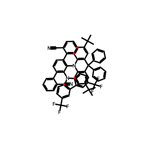 CC(C)(C)c1ccc2c(c1)C(c1ccccc1)(c1ccccc1)c1cc(C(C)(C)C)ccc1N2c1c(-c2ccccc2C#N)ccc(-c2ccccc2C#N)c1-n1c2ccc(C(F)(F)F)cc2c2cc(C(F)(F)F)ccc21